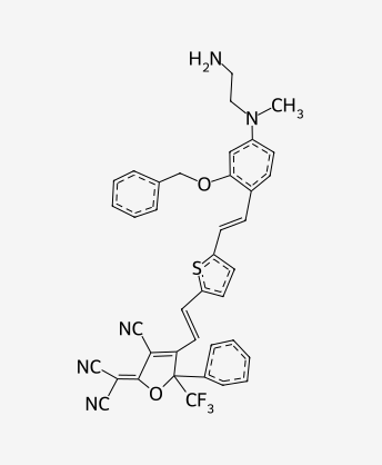 CN(CCN)c1ccc(/C=C/c2ccc(/C=C/C3=C(C#N)C(=C(C#N)C#N)OC3(c3ccccc3)C(F)(F)F)s2)c(OCc2ccccc2)c1